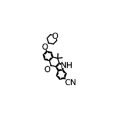 CC1(C)c2cc(OC3CCOCC3)ccc2C(=O)c2c1[nH]c1cc(C#N)ccc21